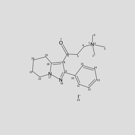 C[N+](C)(C)CCC(=O)c1c(-c2ccccc2)nn2c1CCCC2.[I-]